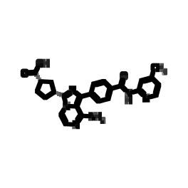 Cc1ccnc(NC(=O)c2ccc(-c3nc([C@@H]4CC[C@H](C(=O)O)C4)n4ccnc(N)c34)cc2)c1